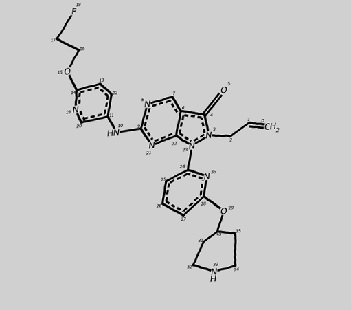 C=CCn1c(=O)c2cnc(Nc3ccc(OCCF)nc3)nc2n1-c1cccc(OC2CCNCC2)n1